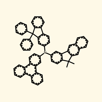 CC1(C)c2ccc(N(c3ccc4c(c3)C(c3ccccc3)(c3ccccc3)c3ccccc3-4)c3ccc4c5ccccc5c5ccccc5c4c3)cc2-c2cc3ccccc3cc21